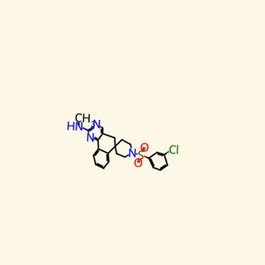 CNc1ncc2c(n1)-c1ccccc1C1(CCN(S(=O)(=O)c3cccc(Cl)c3)CC1)C2